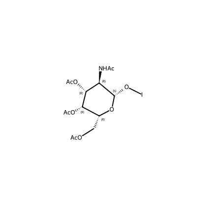 CC(=O)N[C@H]1[C@H](OI)O[C@H](COC(C)=O)[C@H](OC(C)=O)[C@@H]1OC(C)=O